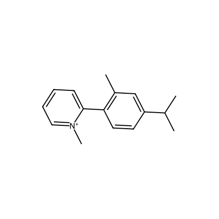 Cc1cc(C(C)C)ccc1-c1cccc[n+]1C